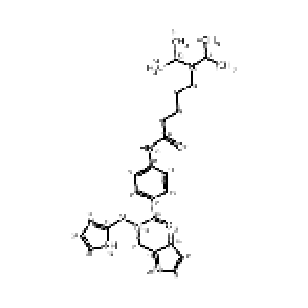 CC(C)N(CCCCC(=O)Nc1ccc(C(=O)N(Cc2ncc[nH]2)Cc2ncc[nH]2)cc1)C(C)C